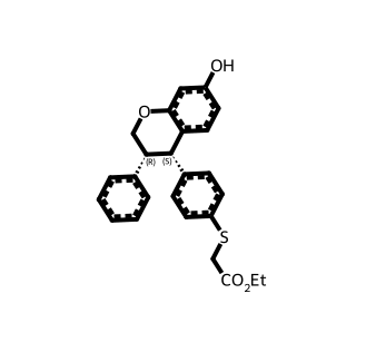 CCOC(=O)CSc1ccc([C@H]2c3ccc(O)cc3OC[C@H]2c2ccccc2)cc1